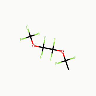 [CH2]C(F)(F)OC(F)(F)C(F)(F)OC(F)(F)F